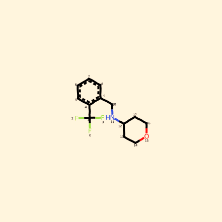 FC(F)(F)c1ccccc1CNC1CCOCC1